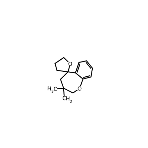 CC1(C)COc2ccccc2C2(CCCO2)C1